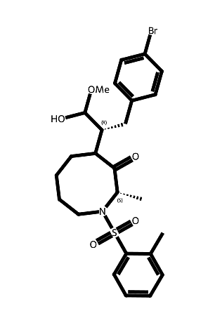 COC(O)[C@H](Cc1ccc(Br)cc1)C1CCCCN(S(=O)(=O)c2ccccc2C)[C@@H](C)C1=O